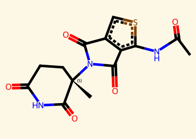 CC(=O)Nc1scc2c1C(=O)N([C@@]1(C)CCC(=O)NC1=O)C2=O